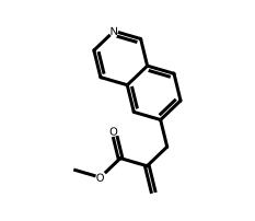 C=C(Cc1ccc2cnccc2c1)C(=O)OC